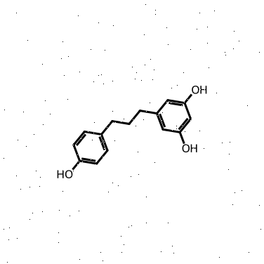 Oc1ccc(CCCc2cc(O)cc(O)c2)cc1